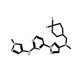 CN(CC1CCC(F)(F)CC1)c1cnn(-c2ccnc(Nc3cnn(C)c3)n2)c1